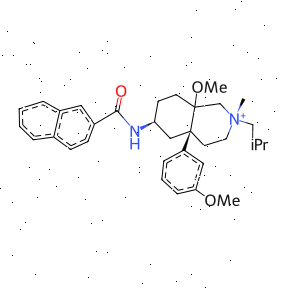 COc1cccc([C@]23CC[N@@+](C)(CC(C)C)CC2(OC)CC[C@H](NC(=O)c2ccc4ccccc4c2)C3)c1